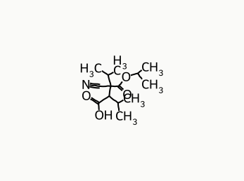 CC(C)OC(=O)C(C#N)(C(C)C)C(C(=O)O)C(C)C